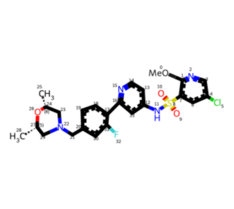 COc1ncc(Cl)cc1S(=O)(=O)Nc1ccnc(-c2ccc(CN3C[C@@H](C)O[C@@H](C)C3)cc2F)c1